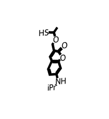 CC(C)Nc1ccc2cc(COC(C)S)c(=O)oc2c1